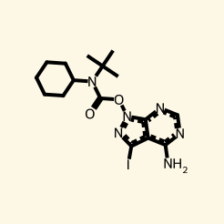 CC(C)(C)N(C(=O)On1nc(I)c2c(N)ncnc21)C1CCCCC1